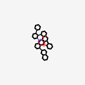 c1ccc(-c2ccccc2-c2c(-c3ccccc3)cccc2N(c2cccc(-c3ccc4ccccc4c3)c2)c2cccc3c2oc2ccccc23)cc1